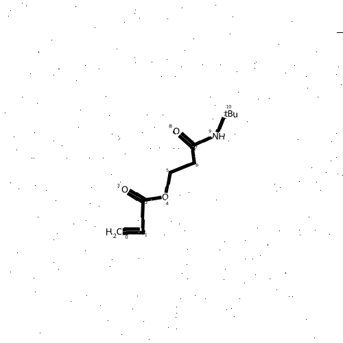 C=CC(=O)OCCC(=O)NC(C)(C)C